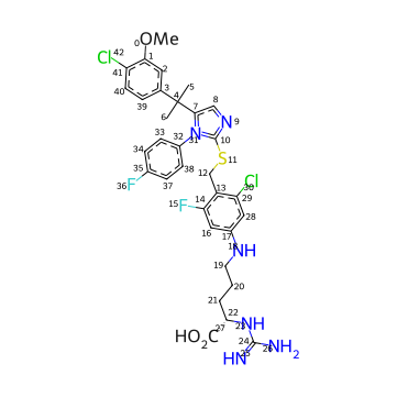 COc1cc(C(C)(C)c2cnc(SCc3c(F)cc(NCCC[C@H](NC(=N)N)C(=O)O)cc3Cl)n2-c2ccc(F)cc2)ccc1Cl